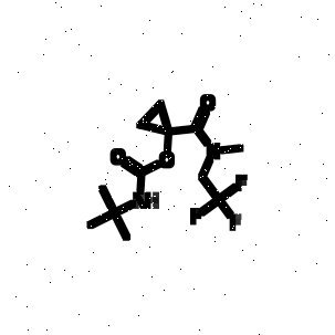 CN(CC(F)(F)F)C(=O)C1(OC(=O)NC(C)(C)C)CC1